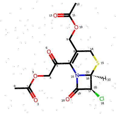 CC(=O)OCC(=O)C1=C(COC(C)=O)CS[C@H]2[C@@H](Cl)C(=O)N12